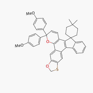 COc1ccc(C2(c3ccc(OC)cc3)C=Cc3c4c(c5cc6c(cc5c3O2)OCS6)-c2ccccc2C42CCC(C)(C)CC2)cc1